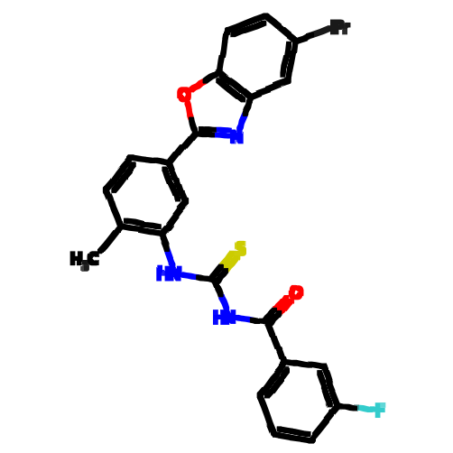 Cc1ccc(-c2nc3cc(C(C)C)ccc3o2)cc1NC(=S)NC(=O)c1cccc(F)c1